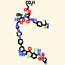 Cc1ncsc1-c1ccc(CNC(=O)[C@@H]2C[C@@H](OC(=O)CCC(=O)O)CN2C(=O)[C@@H](NC(=O)CN2CC(N3CCN(c4ccc(-c5cnc6[nH]cc(C(=O)c7c(F)ccc(NS(=O)(=O)N8CC[C@@H](F)C8)c7F)c6c5)cc4)CC3)C2)C(C)(C)C)cc1